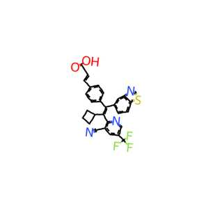 N#Cc1cc(C(F)(F)F)cnc1C(=C(c1ccc(C=CC(=O)O)cc1)c1ccc2scnc2c1)C1CCC1